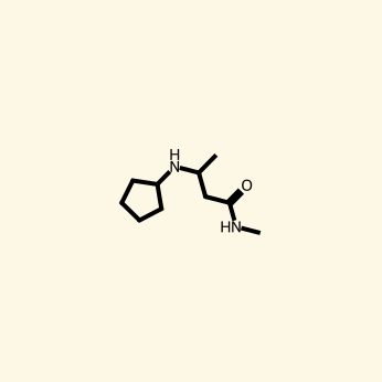 CNC(=O)CC(C)NC1CCCC1